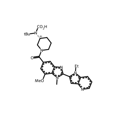 CCn1c(-c2nc3cc(C(=O)N4CCC[C@@H](N(C(=O)O)C(C)(C)C)C4)cc(OC)c3n2C)cc2ncccc21